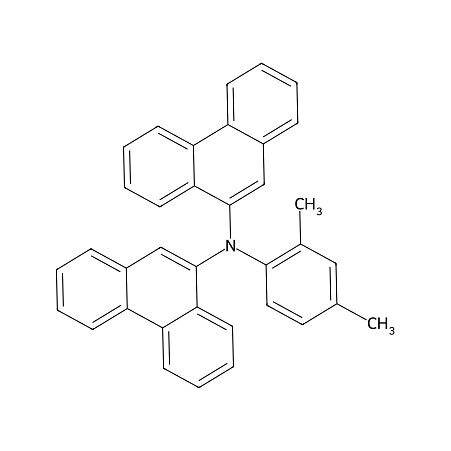 Cc1ccc(N(c2cc3ccccc3c3ccccc23)c2cc3ccccc3c3ccccc23)c(C)c1